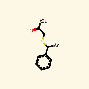 CC(=O)C(SCC(=O)C(C)(C)C)c1ccccc1